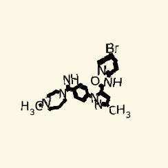 Cc1cc(C(=O)Nc2ccc(Br)cn2)n(-c2ccc(C(=N)N3CCCN(C)CC3)cc2)n1